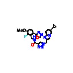 COc1ccc(-c2nnco2)c(CNC(=O)c2cn(Cc3cn4cc(C5CC5)ccc4n3)nn2)c1F